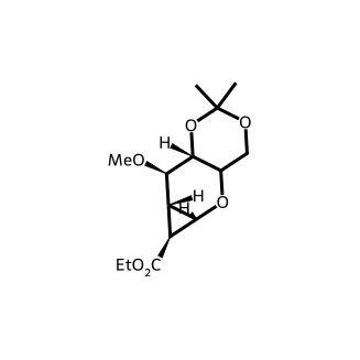 CCOC(=O)[C@@H]1[C@H]2OC3COC(C)(C)O[C@H]3[C@H](OC)[C@H]21